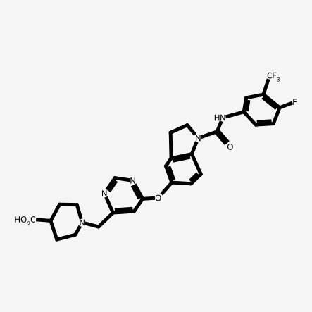 O=C(O)C1CCN(Cc2cc(Oc3ccc4c(c3)CCN4C(=O)Nc3ccc(F)c(C(F)(F)F)c3)ncn2)CC1